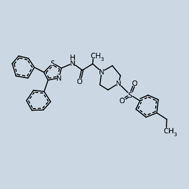 CCc1ccc(S(=O)(=O)N2CCN(C(C)C(=O)Nc3nc(-c4ccccc4)c(-c4ccccc4)s3)CC2)cc1